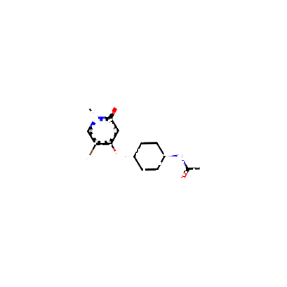 CC(=O)C(=O)N[C@H]1CC[C@H](Oc2cc(=O)n(C)cc2Br)CC1